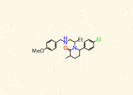 CCC(CNCc1ccc(OC)cc1)N1C(=O)C(C)CCC1c1ccc(Cl)cc1